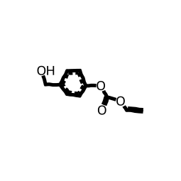 C=COC(=O)Oc1ccc(CO)cc1